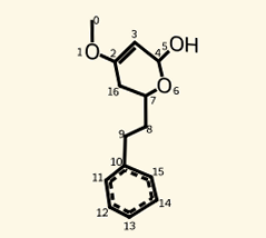 COC1=CC(O)OC(CCc2ccccc2)C1